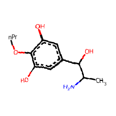 CCCOc1c(O)cc(C(O)C(C)N)cc1O